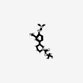 CN(C)/C=N/c1ccc(C2CCCN(C(=O)OC(C)(C)C)C2)cc1C#N